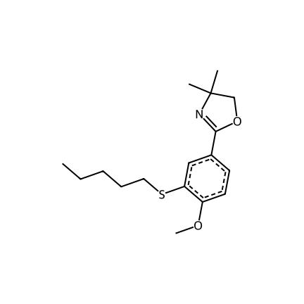 CCCCCSc1cc(C2=NC(C)(C)CO2)ccc1OC